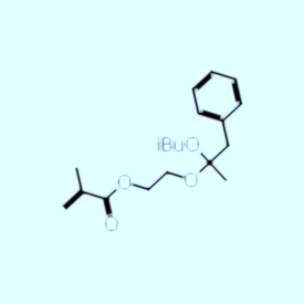 C=C(C)C(=O)OCCOC(C)(Cc1ccccc1)OCC(C)C